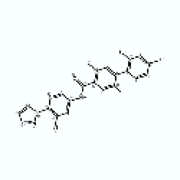 Cc1cc(-c2ccc(F)cc2F)c(F)cc1C(=O)Nc1cnc(-n2nccn2)c(Cl)c1